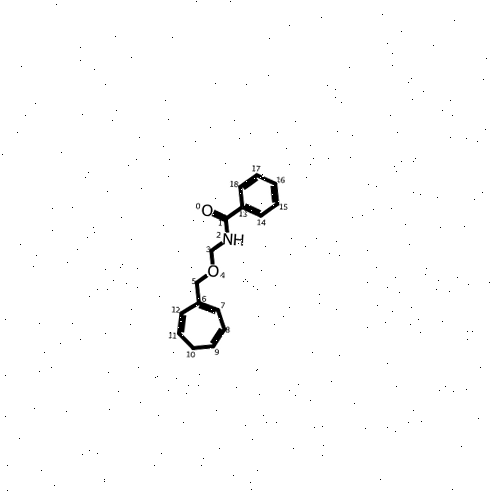 O=C(NCOCC1=CC=CCC=C1)c1ccccc1